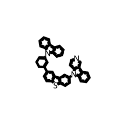 C1=C(c2ccc3sc4ccc(-n5c6ccccc6c6cnccc65)cc4c3c2)CCC=C1n1c2ccccc2c2ccccc21